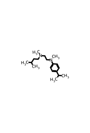 CC(C)CCN(C)CCN(C)c1ccc(C(C)C)cc1